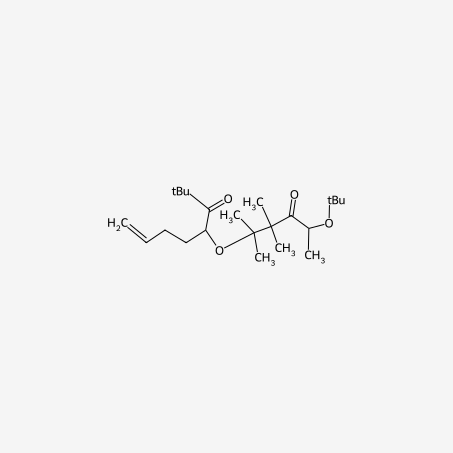 C=CCCC(OC(C)(C)C(C)(C)C(=O)C(C)OC(C)(C)C)C(=O)C(C)(C)C